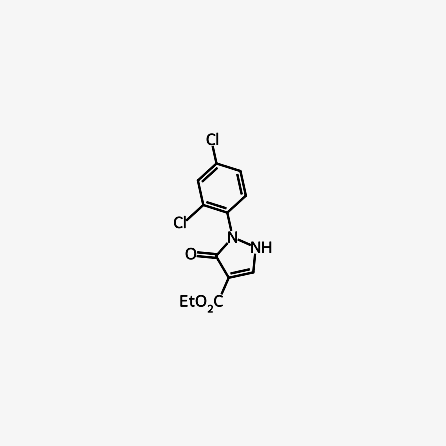 CCOC(=O)c1c[nH]n(-c2ccc(Cl)cc2Cl)c1=O